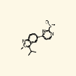 CC(C)c1c2cc(-c3ccnc([S+](C)[O-])n3)ccc2nn1C